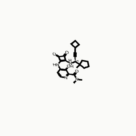 CN(C)C(=O)c1nccc(Nc2c(N[C@@H](C#CC3CCC3)C3(C)CCCC3)c(=O)c2=O)c1O